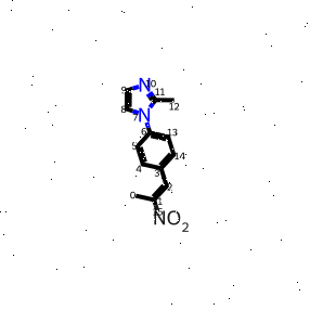 CC(=Cc1ccc(-n2ccnc2C)cc1)[N+](=O)[O-]